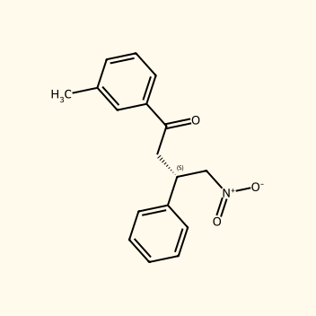 Cc1cccc(C(=O)C[C@H](C[N+](=O)[O-])c2ccccc2)c1